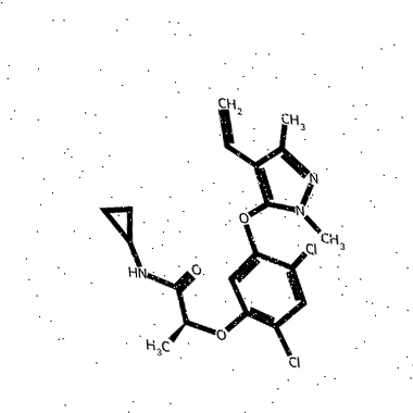 C=Cc1c(C)nn(C)c1Oc1cc(O[C@@H](C)C(=O)NC2CC2)c(Cl)cc1Cl